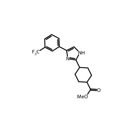 COC(=O)C1CCC(c2nc(-c3cccc(C(F)(F)F)c3)c[nH]2)CC1